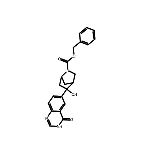 O=C(OCc1ccccc1)N1CC2CC1CC2(O)c1ccc2nc[nH]c(=O)c2c1